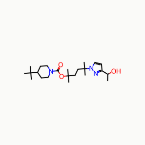 CC(O)c1ccn(C(C)(C)CCC(C)(C)OC(=O)N2CCC(C(C)(C)C)CC2)n1